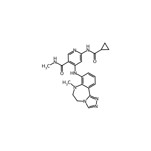 CNC(=O)c1cnc(NC(=O)C2CC2)cc1Nc1cccc2c1N(C)CCn1cnnc1-2